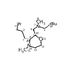 CC(C)CCC[C@@H]1[C@@H](CN(C)CC(C)(C)C)OCCN1C